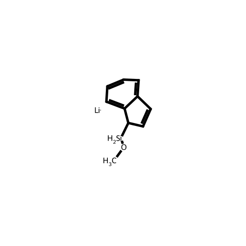 CO[SiH2]C1C=Cc2ccccc21.[Li]